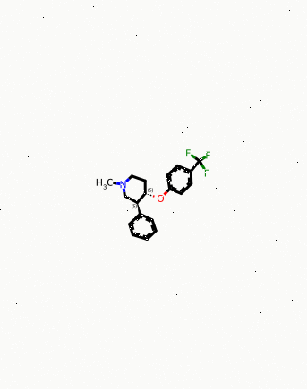 CN1CC[C@H](Oc2ccc(C(F)(F)F)cc2)[C@@H](c2ccccc2)C1